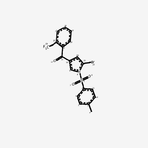 Cc1ccc(S(=O)(=O)n2cc(C(=O)c3ccccc3C(F)(F)F)cc2Br)cc1